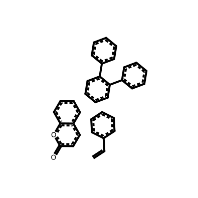 C=Cc1ccccc1.O=c1ccc2ccccc2o1.c1ccc(-c2ccccc2-c2ccccc2)cc1